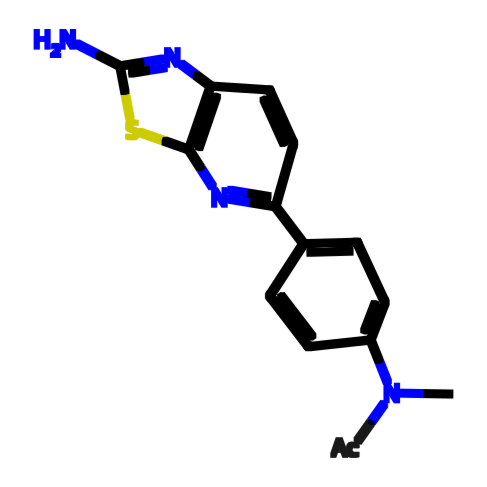 CC(=O)N(C)c1ccc(-c2ccc3nc(N)sc3n2)cc1